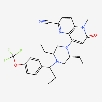 CCC1CN(c2cc(=O)n(C)c3ccc(C#N)nc23)[C@@H](CC)CN1C(CC)c1ccc(OC(F)(F)F)cc1